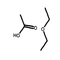 CC(=O)O.CCOCC